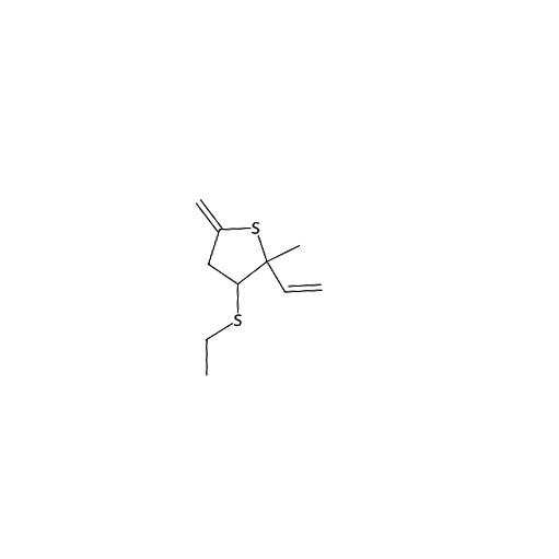 C=CC1(C)SC(=C)CC1SCC